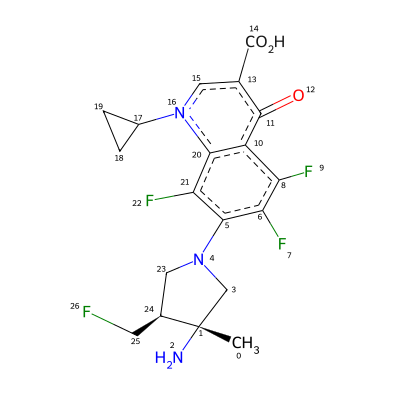 C[C@]1(N)CN(c2c(F)c(F)c3c(=O)c(C(=O)O)cn(C4CC4)c3c2F)C[C@@H]1CF